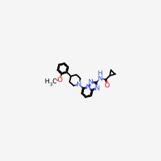 COc1ccccc1C1CCN(c2cccc3nc(NC(=O)C4CC4)nn23)CC1